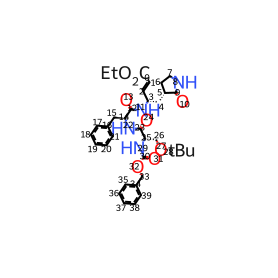 CCOC(=O)/C=C/[C@H](C[C@@H]1CCNC1=O)NC(=O)[C@H](Cc1ccccc1)NC(=O)[C@H](COC(C)(C)C)NC(=O)OCc1ccccc1